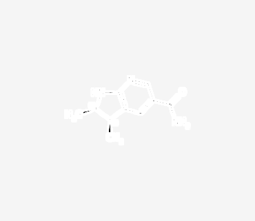 C[C@@H]1c2cc(C(N)=O)cnc2N[C@@H]1C